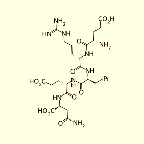 CC(C)C[C@H](NC(=O)[C@H](CCCNC(=N)N)NC(=O)[C@@H](N)CCC(=O)O)C(=O)N[C@@H](CCC(=O)O)C(=O)N[C@@H](CC(N)=O)C(=O)O